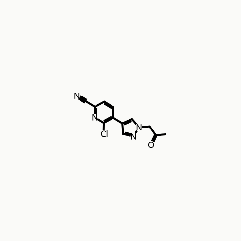 CC(=O)Cn1cc(-c2ccc(C#N)nc2Cl)cn1